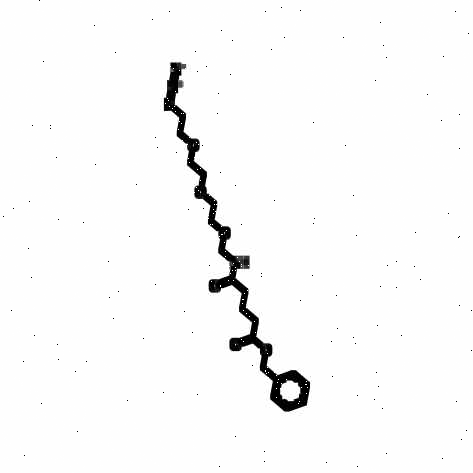 [N-]=[N+]=NCCOCCOCCOCNC(=O)CCCC(=O)OCc1ccccc1